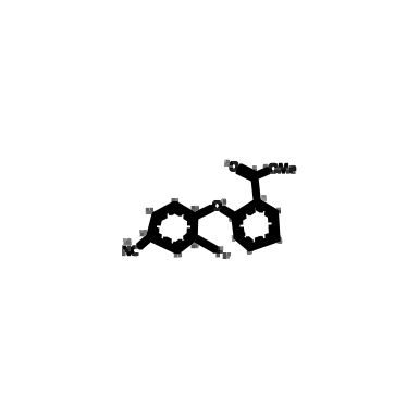 COC(=O)c1ccccc1Oc1ccc(C#N)cc1F